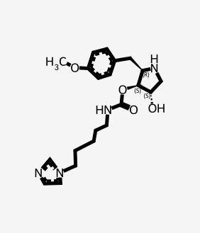 COc1ccc(C[C@H]2NC[C@H](O)[C@H]2OC(=O)NCCCCCn2ccnc2)cc1